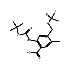 Cc1cc(C(=O)O)c(NC(=O)OC(C)(C)C)cc1COC(F)(F)F